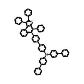 c1ccc(-c2ccc(N(c3ccc(-c4ccccc4)cc3)c3ccc(-c4ccc(-c5c(-c6ccccc6)c6sc(-c7ccccc7)c(-c7ccccc7)c6c6ccccc56)cc4)cc3)cc2)cc1